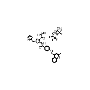 Cc1cc(COc2ccc(C(=O)N[C@@H]3CN(Cc4nccs4)C[C@@H]3C(=O)NO)cc2)c2ccccc2n1.O=C(O)C(F)(F)F.O=C(O)C(F)(F)F